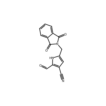 N#Cc1cc(CN2C(=O)c3ccccc3C2=O)[nH]c1C=O